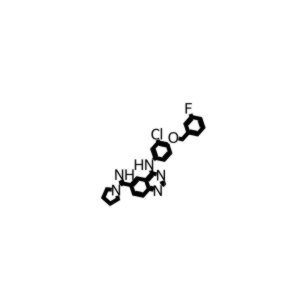 N=C(c1ccc2ncnc(Nc3ccc(OCc4cccc(F)c4)c(Cl)c3)c2c1)N1CCCC1